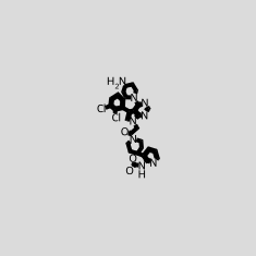 NC1CCN(c2ncnc3c2c(-c2cccc(Cl)c2Cl)cn3CC(=O)N2CCC3(CC2)OC(=O)Nc2ncccc23)CC1